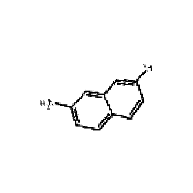 [2H]c1ccc2ccc(N)cc2c1